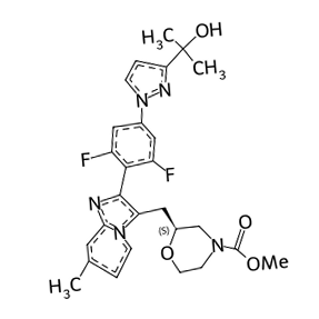 COC(=O)N1CCO[C@@H](Cc2c(-c3c(F)cc(-n4ccc(C(C)(C)O)n4)cc3F)nc3cc(C)ccn23)C1